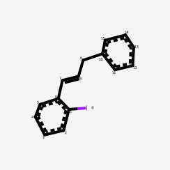 Ic1ccccc1C=CCc1ccccc1